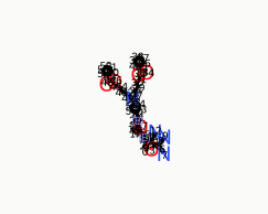 CC1(C)OC(=C(C#N)C#N)C(C#N)=C1/C=C/c1ccc(/C=C/c2ccc(N(CCCCCOC(=O)c3ccccc3)CCCCCOC(=O)c3ccccc3)cc2)o1